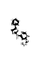 COc1cc(Nc2ncc(-c3ccccn3)s2)ncn1